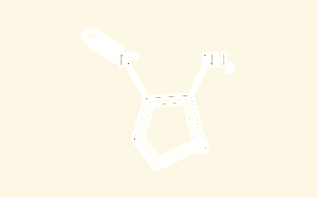 [C-]#[N+]c1ccsc1N